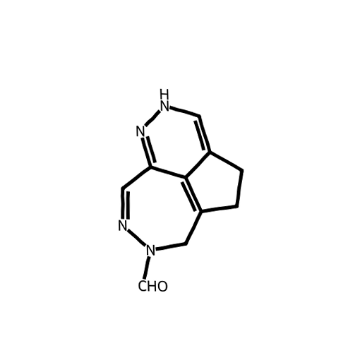 O=CN1CC2=C3C(=CNN=C3C=N1)CC2